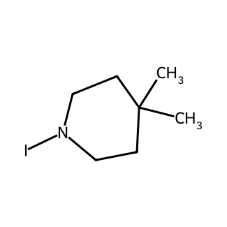 CC1(C)CCN(I)CC1